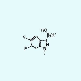 Cn1nc(B(O)O)c2cc(F)c(F)cc21